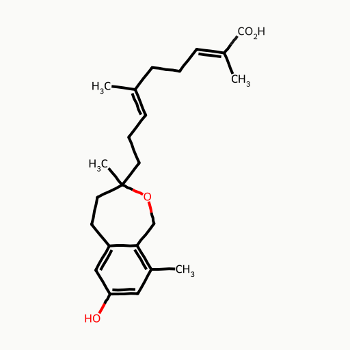 C/C(=C\CCC1(C)CCc2cc(O)cc(C)c2CO1)CC/C=C(\C)C(=O)O